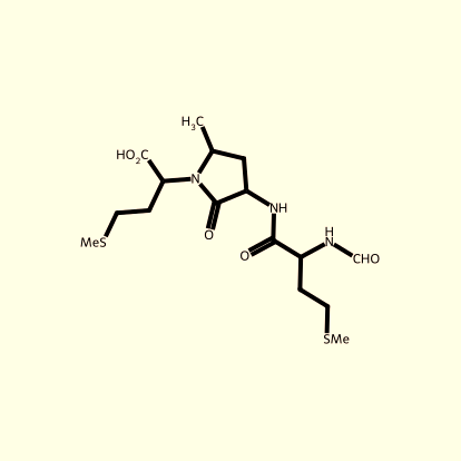 CSCCC(NC=O)C(=O)NC1CC(C)N(C(CCSC)C(=O)O)C1=O